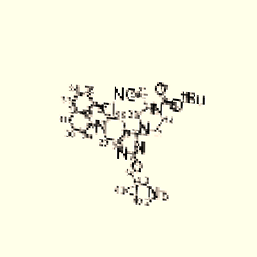 CN(C)CC1(COc2nc3c(c(N4CCN(C(=O)OC(C)(C)C)[C@@H](CC#N)C4)n2)CCN(c2cccc4cccc(Cl)c24)C3)CC1